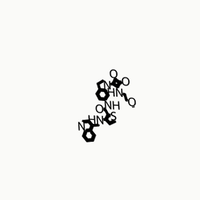 COCCNc1c(N2CCc3ccc(NC(=O)c4sccc4NCc4ccnc5ccccc45)cc32)c(=O)c1=O